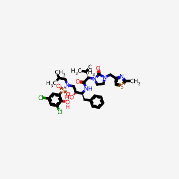 Cc1nc(CN2CCN([C@H](C(=O)N[C@@H](Cc3ccccc3)[C@@H](O)CN(CC(C)C)S(=O)(=O)c3cc(Cl)cc(Cl)c3O)C(C)C)C2=O)cs1